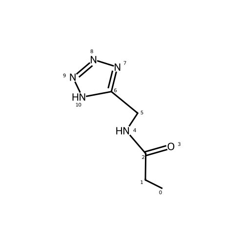 CCC(=O)NCc1nnn[nH]1